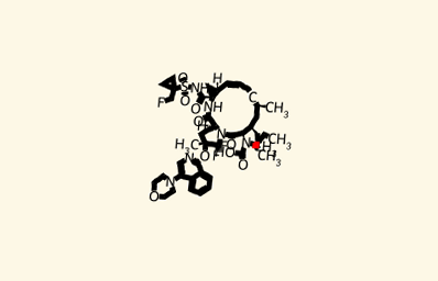 CCC(C)N(C(=O)O)[C@@H]1C(=O)N2[C@@H](C[C@@](C)(Oc3ncc(N4CCOCC4)c4ccccc34)C2(F)F)C(=O)N[C@]2(C(=O)NS(=O)(=O)C3(CF)CC3)C[C@H]2/C=C\CC[C@@H](C)C[C@H]1CC